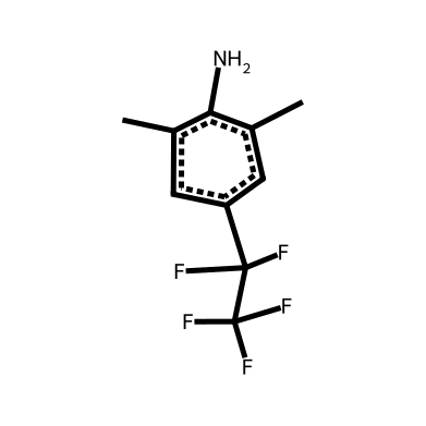 Cc1cc(C(F)(F)C(F)(F)F)cc(C)c1N